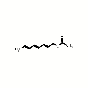 CC=CC=CC=CCOC(C)=O